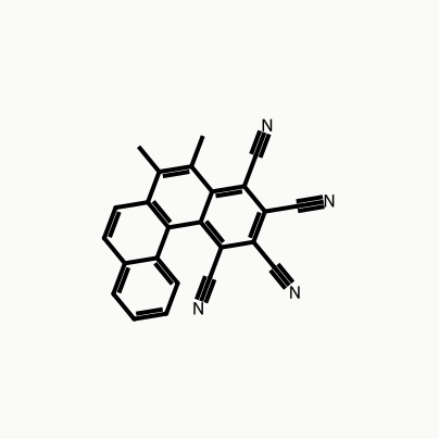 Cc1c(C)c2c(C#N)c(C#N)c(C#N)c(C#N)c2c2c1ccc1ccccc12